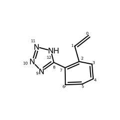 C=Cc1ccc[c]c1-c1nnn[nH]1